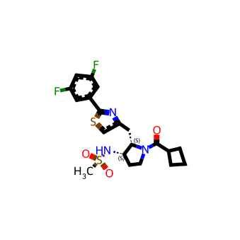 CS(=O)(=O)N[C@H]1CCN(C(=O)C2CCC2)[C@H]1Cc1csc(-c2cc(F)cc(F)c2)n1